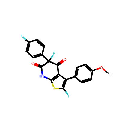 CCOc1ccc(-c2c(F)sc3c2C(=O)C(F)(c2ccc(F)cc2)C(=O)N3)cc1